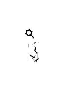 O=C(NCCCn1ccnc1C(F)(F)F)OCc1ccccc1